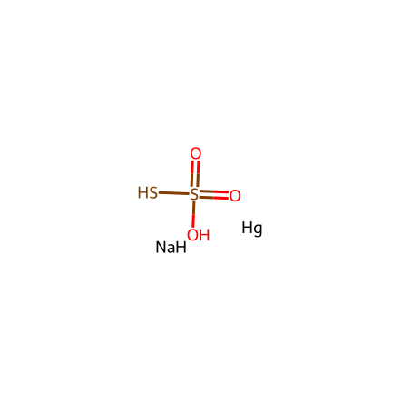 O=S(=O)(O)S.[Hg].[NaH]